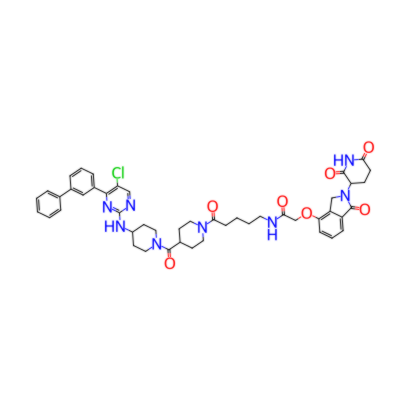 O=C(COc1cccc2c1CN(C1CCC(=O)NC1=O)C2=O)NCCCCC(=O)N1CCC(C(=O)N2CCC(Nc3ncc(Cl)c(-c4cccc(-c5ccccc5)c4)n3)CC2)CC1